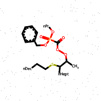 CCCCCCCCCCCCSC(CCCCCCC)C(C)OOC(=O)P(=O)(OCCC)OCc1ccccc1